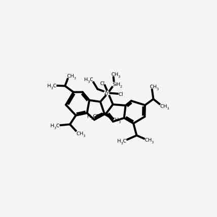 C[CH2][Zr]([Cl])([Cl])([SiH2]C)([CH]1C(C)=Cc2c(C(C)C)cc(C(C)C)cc21)[CH]1C(C)=Cc2c(C(C)C)cc(C(C)C)cc21